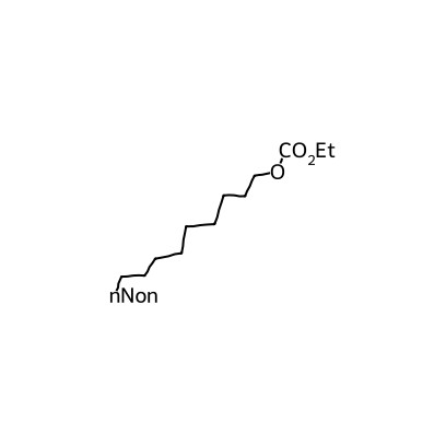 C[CH]OC(=O)OCCCCCCCCCCCCCCCCCC